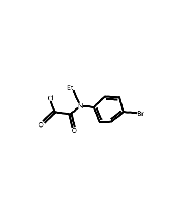 CCN(C(=O)C(=O)Cl)c1ccc(Br)cc1